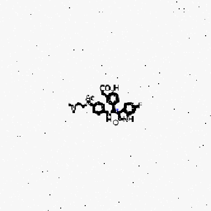 CC(=O)N(CCN(C)C)c1ccc(N/C(=C2\C(=O)Nc3cc(F)ccc32)c2cccc(CC(=O)O)c2)cc1